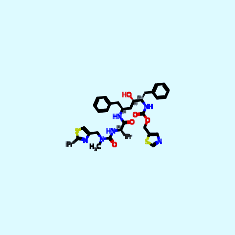 CC(C)c1nc(CN(C)C(=O)N[C@@H](C(=O)N[C@@H](Cc2ccccc2)C[C@H](O)[C@H](Cc2ccccc2)NC(=O)OCc2cncs2)C(C)C)cs1